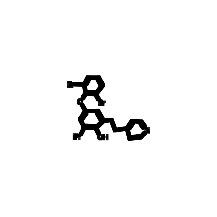 CC(C)c1cc(Oc2c(Br)cccc2Br)cc(CCc2ccncc2)c1O